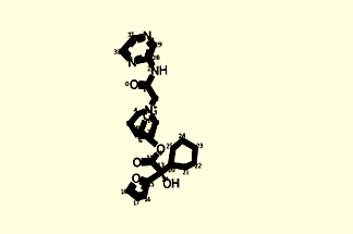 O=C(C[N+]12CCC(CC1)C(OC(=O)[C@](O)(c1ccco1)C1CCCCC1)C2)Nc1cnccn1